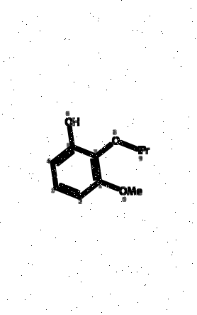 COc1cccc(O)c1OC(C)C